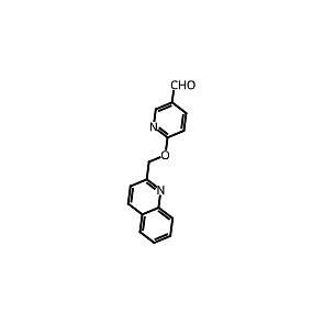 O=Cc1ccc(OCc2ccc3ccccc3n2)nc1